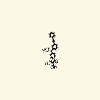 Cl.NC(CO)C(=O)N1CCC(Cc2cccc(C#Cc3ccccc3)c2)CC1